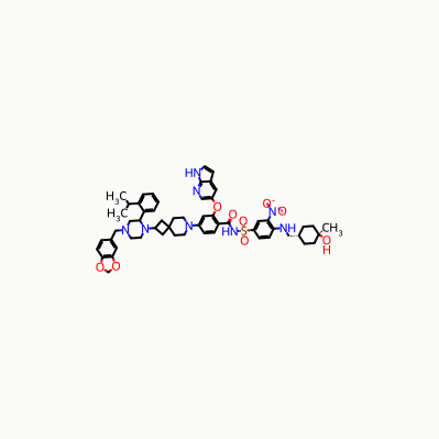 CC(C)c1ccccc1C1CN(Cc2ccc3c(c2)OCO3)CCN1C1CC2(CCN(c3ccc(C(=O)NS(=O)(=O)c4ccc(NC[C@H]5CC[C@](C)(O)CC5)c([N+](=O)[O-])c4)c(Oc4cnc5[nH]ccc5c4)c3)CC2)C1